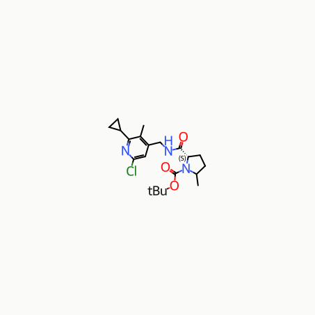 Cc1c(CNC(=O)[C@@H]2CCC(C)N2C(=O)OC(C)(C)C)cc(Cl)nc1C1CC1